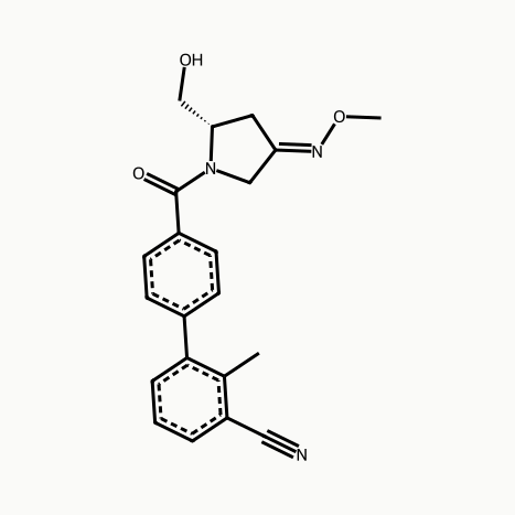 CO/N=C1\C[C@@H](CO)N(C(=O)c2ccc(-c3cccc(C#N)c3C)cc2)C1